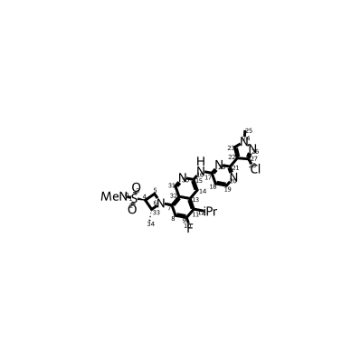 CNS(=O)(=O)[C@H]1CN(c2cc(F)c(C(C)C)c3cc(Nc4ccnc(-c5cn(C)nc5Cl)n4)ncc23)[C@@H]1C